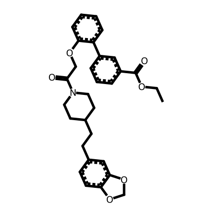 CCOC(=O)c1cccc(-c2ccccc2OCC(=O)N2CCC(CCc3ccc4c(c3)OCO4)CC2)c1